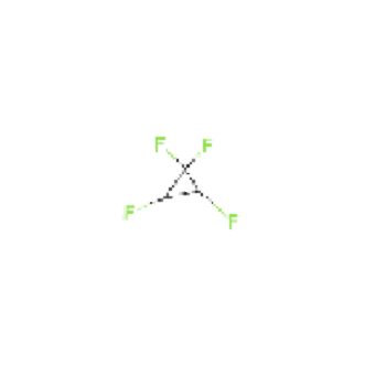 FC1C(F)C1(F)F